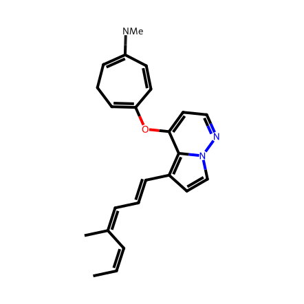 C\C=C/C(C)=C\C=C\c1ccn2nccc(OC3=CCC=C(NC)C=C3)c12